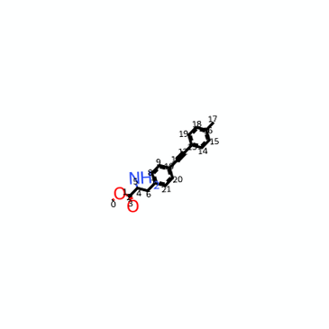 COC(=O)[C@@H](N)Cc1ccc(C#Cc2ccc(C)cc2)cc1